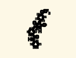 CC1(Cc2ccnc(C(=O)Nc3ccccc3)c2)NC(=O)N(c2ccc(OC(F)(F)F)cc2)C1=O